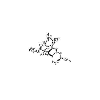 COC(=O)C(C)(c1ccc(CC(C)C)cc1)C1CCCNC1.Cl